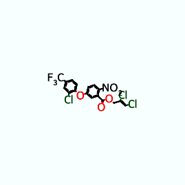 O=C(OCC(Cl)=CCl)c1cc(Oc2ccc(C(F)(F)F)cc2Cl)ccc1[N+](=O)[O-]